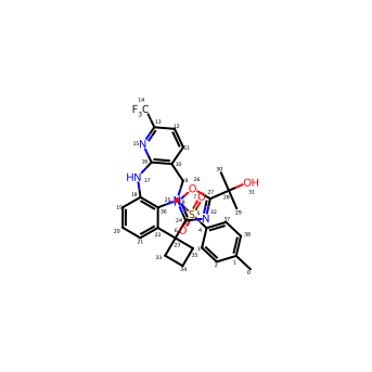 Cc1ccc(S(=O)(=O)N2Cc3ccc(C(F)(F)F)nc3Nc3cccc(C4(c5noc(C(C)(C)O)n5)CCC4)c32)cc1